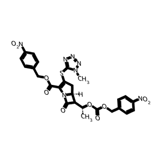 C[C@@H](OC(=O)OCc1ccc([N+](=O)[O-])cc1)C1C(=O)N2C(C(=O)OCc3ccc([N+](=O)[O-])cc3)=C(Sc3nnnn3C)C[C@@H]12